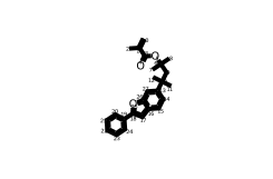 C=C(C)C(=O)OC(C)(C)CC(C)(C)c1ccc2cc(-c3ccccc3)oc2c1